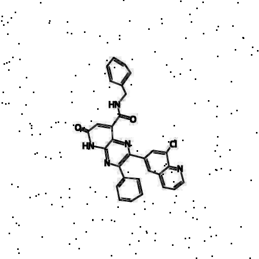 O=C(NCc1ccccc1)c1cc(=O)[nH]c2nc(-c3ccccc3)c(-c3cc(Cl)c4ncccc4c3)nc12